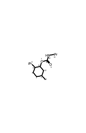 CC1CCC(C(C)C)C(OC(=O)NC(C)C)C1